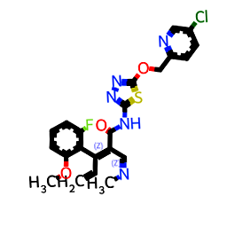 C=C/C(=C(\C=N/C)C(=O)Nc1nnc(OCc2ccc(Cl)cn2)s1)c1c(F)cccc1OC